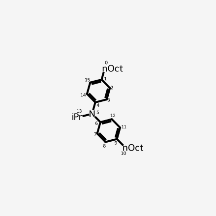 CCCCCCCCc1ccc(N(c2ccc(CCCCCCCC)cc2)C(C)C)cc1